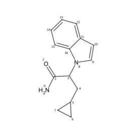 NC(=O)C(CC1CC1)n1ccc2ccccc21